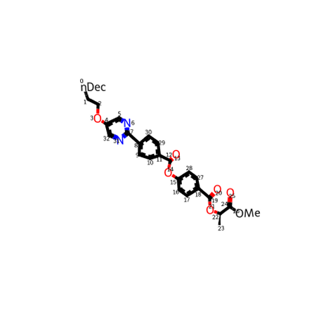 CCCCCCCCCCCCOc1cnc(-c2ccc(C(=O)Oc3ccc(C(=O)O[C@H](C)C(=O)OC)cc3)cc2)nc1